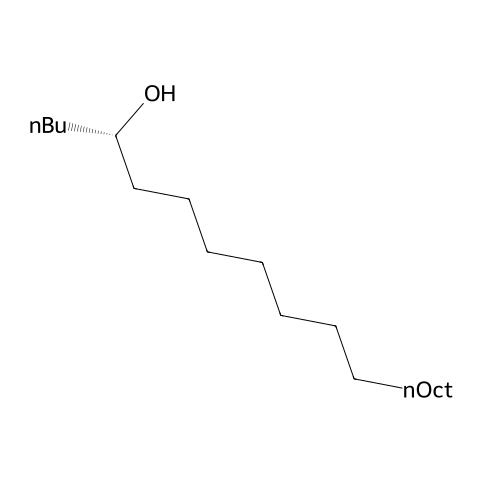 CCCCCCCCCCCCCCC[C@@H](O)CCCC